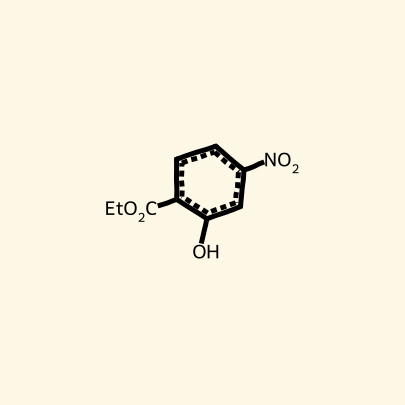 CCOC(=O)c1ccc([N+](=O)[O-])cc1O